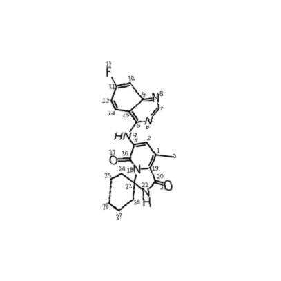 Cc1cc(Nc2ncnc3cc(F)ccc23)c(=O)n2c1C(=O)NC21CCCCC1